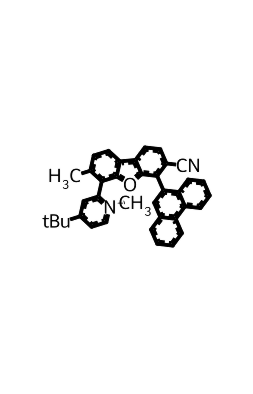 Cc1ccc2c(oc3c(-c4cc5ccccc5c5ccccc45)c(C#N)ccc32)c1-c1cc(C(C)(C)C)cc[n+]1C